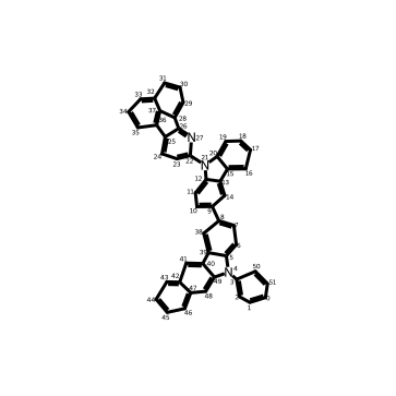 c1ccc(-n2c3ccc(-c4ccc5c(c4)c4ccccc4n5-c4ccc5c(n4)-c4cccc6cccc-5c46)cc3c3cc4ccccc4cc32)cc1